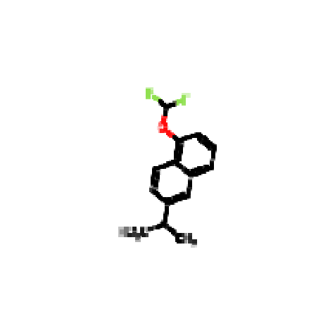 CC(C(=O)O)c1ccc2c(OC(F)F)cccc2c1